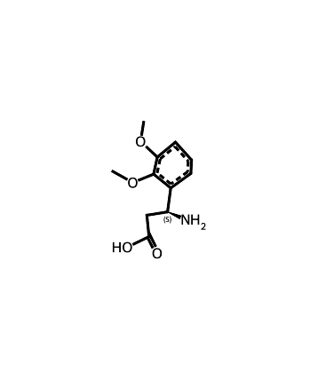 COc1cccc([C@@H](N)CC(=O)O)c1OC